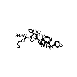 CNC(OC=S)[C@@H]1O[C@@H](n2cnc3c(N[C@@H]4CCOC4)ncnc32)[C@H](O)[C@@H]1O